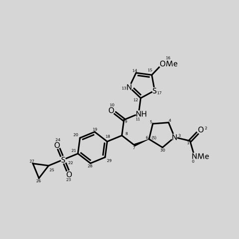 CNC(=O)N1CC[C@H](CC(C(=O)Nc2ncc(OC)s2)c2ccc(S(=O)(=O)C3CC3)cc2)C1